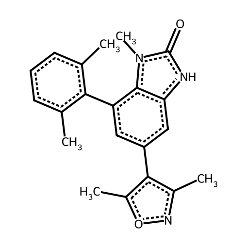 Cc1cccc(C)c1-c1cc(-c2c(C)noc2C)cc2[nH]c(=O)n(C)c12